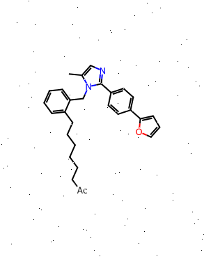 CC(=O)CCCCCCc1ccccc1Cn1c(C)cnc1-c1ccc(-c2ccco2)cc1